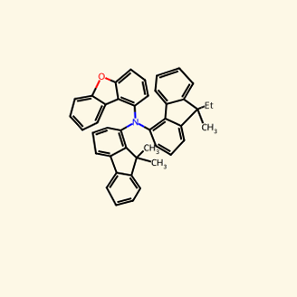 CCC1(C)c2ccccc2-c2c(N(c3cccc4c3C(C)(C)c3ccccc3-4)c3cccc4oc5ccccc5c34)cccc21